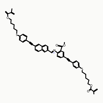 C=C(C)C(=C)OCCCCCSc1ccc(C#Cc2ccc3cc(/C=N/c4ccc(C#Cc5ccc(SCCCCCOC(=O)C(=C)C)cc5)cc4C(=O)OC)ccc3c2)cc1